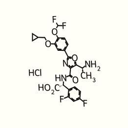 C[C@H](N)c1oc(-c2ccc(OC(F)F)c(OCC3CC3)c2)nc1C(=O)N[C@@H](C(=O)O)c1ccc(F)cc1F.Cl